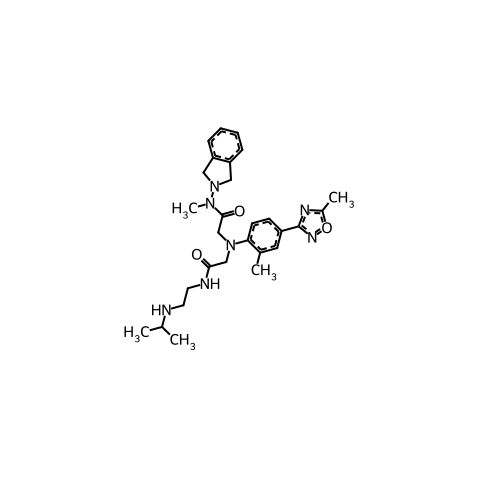 Cc1nc(-c2ccc(N(CC(=O)NCCNC(C)C)CC(=O)N(C)N3Cc4ccccc4C3)c(C)c2)no1